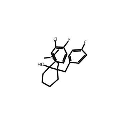 CN(C)CC1(Cc2ccc(F)cc2)CCCCC1(O)c1ccc(F)c(Cl)c1